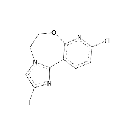 Clc1ccc2c(n1)OCCn1cc(I)nc1-2